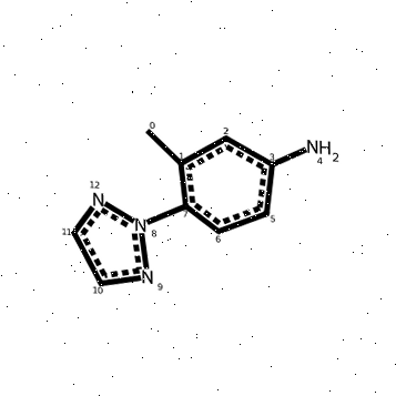 Cc1cc(N)ccc1-n1nccn1